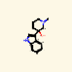 CN1CCCC(O)(c2c[nH]c3ccccc23)C1